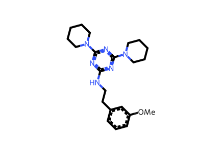 COc1cccc(CCNc2nc(N3CCCCC3)nc(N3CCCCC3)n2)c1